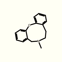 CN1CCc2ccccc2Oc2ccccc2C1